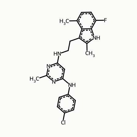 Cc1nc(NCCc2c(C)[nH]c3c(F)ccc(C)c23)cc(Nc2ccc(Cl)cc2)n1